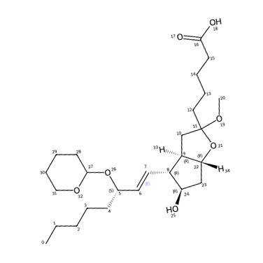 CCCCC[C@@H](/C=C/[C@@H]1[C@H]2CC(CCCCC(=O)O)(OC)O[C@@H]2C[C@H]1O)OC1CCCCO1